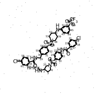 CCCCCCNC1CCN(S(=O)(=O)c2ccc(NC(=O)c3ccc(Cl)cc3)cc2)C1.O=C(NCc1ccc(S(=O)(=O)N2CCC(Nc3cccc(S(=O)(=O)C(F)(F)F)c3)CC2)cc1)c1ccc(Cl)cc1